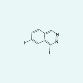 Ic1ccc2cnnc(I)c2c1